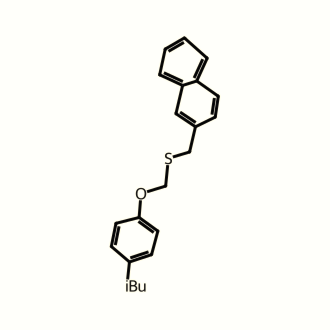 CCC(C)c1ccc(OCSCc2ccc3ccccc3c2)cc1